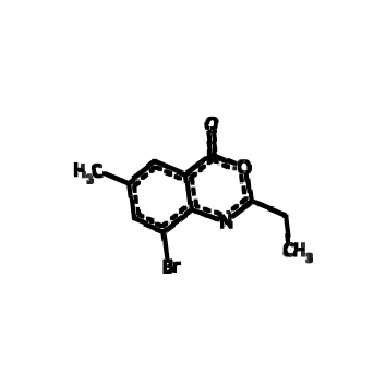 CCc1nc2c(Br)cc(C)cc2c(=O)o1